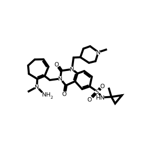 CN1CCC(Cn2c(=O)n(CC3=C(N(C)N)CCCC=C3)c(=O)c3cc(S(=O)(=O)NC4(C)CC4)ccc32)CC1